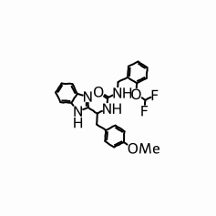 COc1ccc(CC(NC(=O)NCc2ccccc2OC(F)F)c2nc3ccccc3[nH]2)cc1